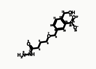 NNC(=O)CCCOCc1ccc(CO)c([N+](=O)[O-])c1